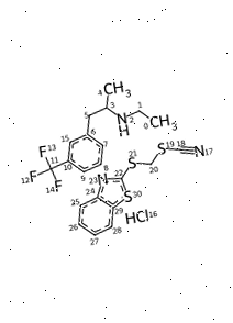 CCNC(C)Cc1cccc(C(F)(F)F)c1.Cl.N#CSCSc1nc2ccccc2s1